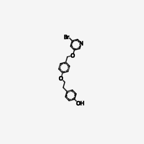 Oc1ccc(CCOc2ccc(COc3cncc(Br)c3)cc2)cc1